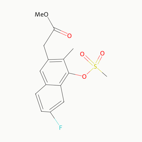 COC(=O)Cc1cc2ccc(F)cc2c(OS(C)(=O)=O)c1C